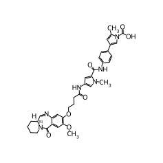 COc1cc2c(cc1OCCCC(=O)Nc1cc(C(=O)Nc3ccc(-c4cc(C)n(C(=O)O)c4)cc3)n(C)c1)N=C[C@@H]1CCCCN1C2=O